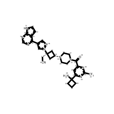 N#CC[C@]1(n2cc(-c3ncnc4[nH]ccc34)cn2)C[C@H](N2CCN(C(=O)c3cc(C4(N)CCC4)nc(C(F)(F)F)n3)CC2)C1